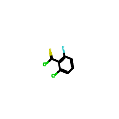 Fc1cccc(Cl)c1C(=S)Cl